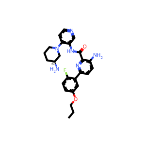 CCCOc1ccc(F)c(-c2ccc(N)c(C(=O)Nc3cnccc3N3CCC[C@H](N)C3)n2)c1